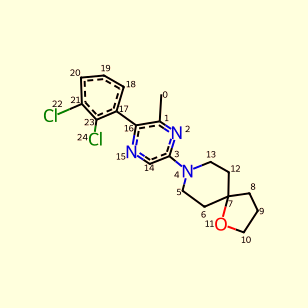 Cc1nc(N2CCC3(CCCO3)CC2)cnc1-c1cccc(Cl)c1Cl